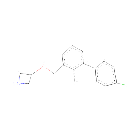 FC(F)(F)c1c(COC2CNC2)cccc1-c1ccc(Cl)cc1